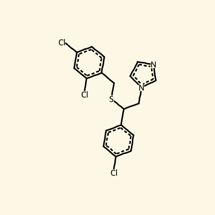 Clc1ccc(C(Cn2ccnc2)SCc2ccc(Cl)cc2Cl)cc1